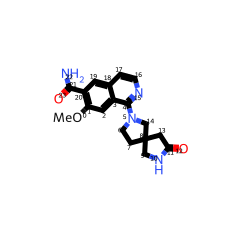 COc1cc2c(N3CCC4(CNC(=O)C4)C3)nccc2cc1C(N)=O